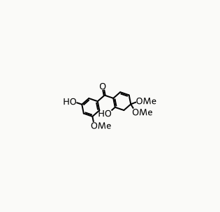 COc1cc(O)cc(C(=O)C2=C(O)CC(OC)(OC)C=C2)c1